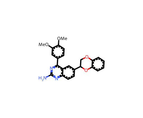 COc1ccc(-c2nc(N)nc3ccc(C4COc5ccccc5O4)cc23)cc1OC